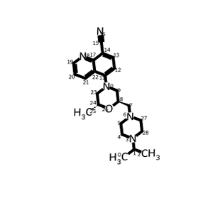 CC(C)N1CCN(C[C@@H]2CN(c3ccc(C#N)c4ncccc34)C[C@@H](C)O2)CC1